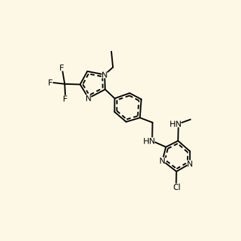 CCn1cc(C(F)(F)F)nc1-c1ccc(CNc2nc(Cl)ncc2NC)cc1